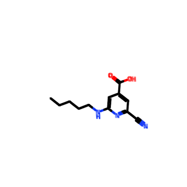 CCCCCNc1cc(C(=O)O)cc(C#N)n1